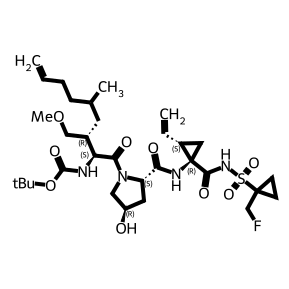 C=CCCC(C)C[C@@H](COC)[C@H](NC(=O)OC(C)(C)C)C(=O)N1C[C@H](O)C[C@H]1C(=O)N[C@]1(C(=O)NS(=O)(=O)C2(CF)CC2)C[C@H]1C=C